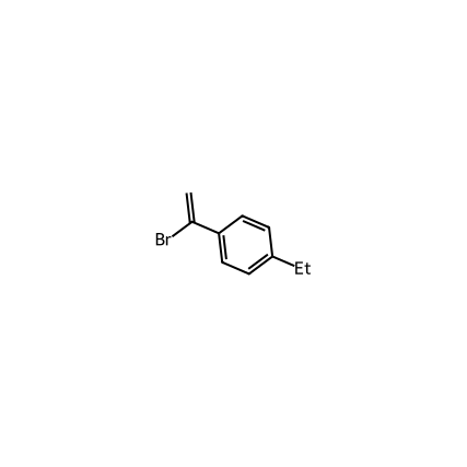 C=C(Br)c1ccc(CC)cc1